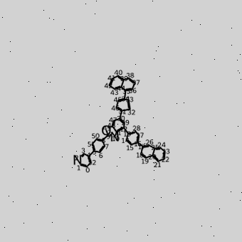 c1cncc(-c2ccc(-c3nc4c(-c5ccc(-c6ccc7ccccc7c6)cc5)cc(-c5ccc(-c6cccc7ccccc67)cc5)cc4o3)cc2)c1